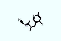 C/C(=N\C#N)N(C)Cc1cnc(I)cc1I